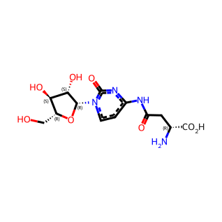 N[C@H](CC(=O)Nc1ccn([C@@H]2O[C@H](CO)[C@@H](O)[C@@H]2O)c(=O)n1)C(=O)O